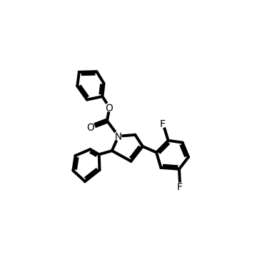 O=C(Oc1ccccc1)N1CC(c2cc(F)ccc2F)=CC1c1ccccc1